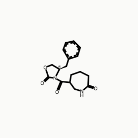 O=C1CCCC(C(=O)N2C(=O)OC[C@H]2Cc2ccccc2)CN1